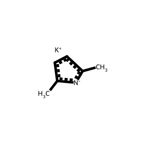 Cc1ccc(C)[n-]1.[K+]